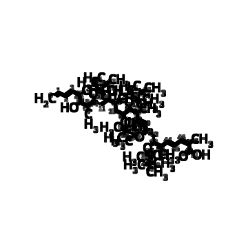 C=CC=C[C@H](C)[C@H](O)[C@@H](C)[C@@H](CC[C@H](C)C[C@H](C)[C@@H](O[Si](C)(C)C(C)(C)C)[C@@H](C)C=C[C@H](C[C@H](O[Si](C)(C)C(C)(C)C)[C@H](C)C=CC=C(C)C(=O)O)O[Si](C)(C)C(C)(C)C)O[Si](C)(C)C(C)(C)C